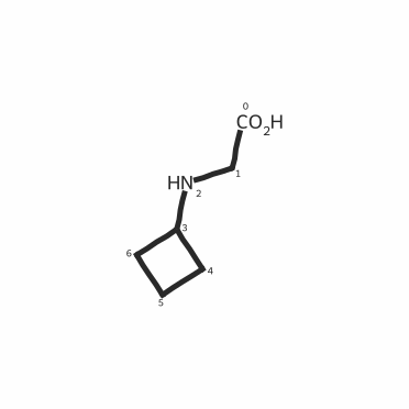 O=C(O)CNC1CCC1